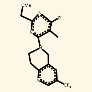 COCc1nc(Cl)c(C)c(N2CCc3ncc(C(F)(F)F)cc3C2)n1